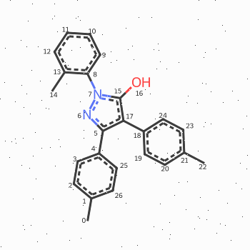 Cc1ccc(-c2nn(-c3ccccc3C)c(O)c2-c2ccc(C)cc2)cc1